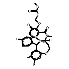 COC(=O)OCOc1c2n(ccc1=O)N1C(c3ccc(F)cc3)c3cc(F)c(F)cc3OCC[C@H]1N(C)C2=O